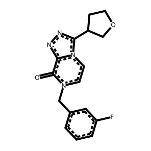 O=c1c2nnc(C3CCOC3)n2ccn1Cc1cccc(F)c1